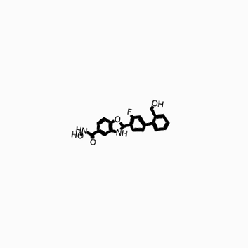 O=C(NO)c1ccc2c(c1)NC(c1ccc(-c3ccccc3CO)cc1F)O2